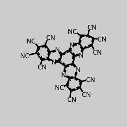 N#Cc1c(C#N)c(C#N)c2nc3c(nc2c1C#N)c1nc2c(C#N)c(C#N)c(C#N)c(C#N)c2nc1c1nc2c(C#N)c(C#N)c(C#N)c(C#N)c2nc31